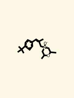 CC(=Cc1ccc(C(C)(C)C)cc1)C[N+]1([O-])CC(C)OC(C)C1